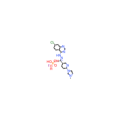 C/C(=N\Nc1ncnc2cc(Cl)ccc12)c1ccc(-n2cc[n+](C)c2)nc1.O=P(O)(O)O.[I-]